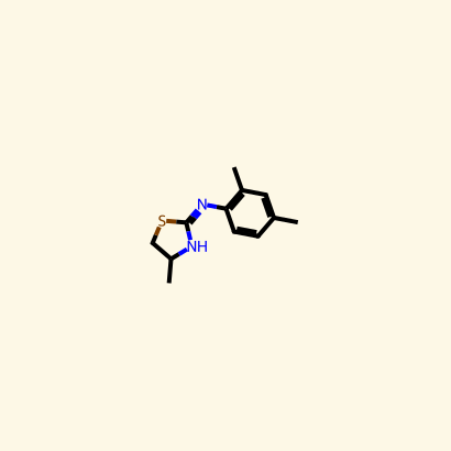 Cc1ccc(N=C2NC(C)CS2)c(C)c1